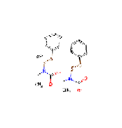 CCN(SSc1ccccc1)C(=O)[O-].CCN(SSc1ccccc1)C(=O)[O-].[Zn+2]